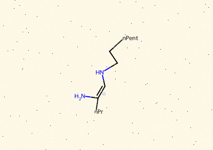 CCCCCCCN/C=C(\N)CCC